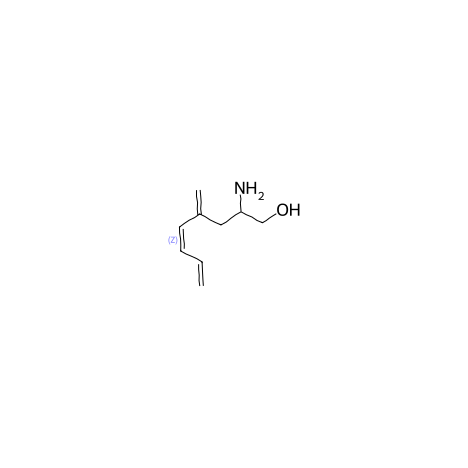 C=C/C=C\C(=C)CC(N)CO